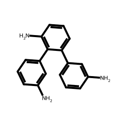 Nc1cccc(-c2cccc(N)c2-c2cccc(N)c2)c1